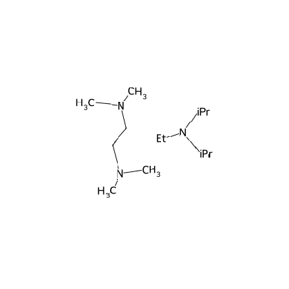 CCN(C(C)C)C(C)C.CN(C)CCN(C)C